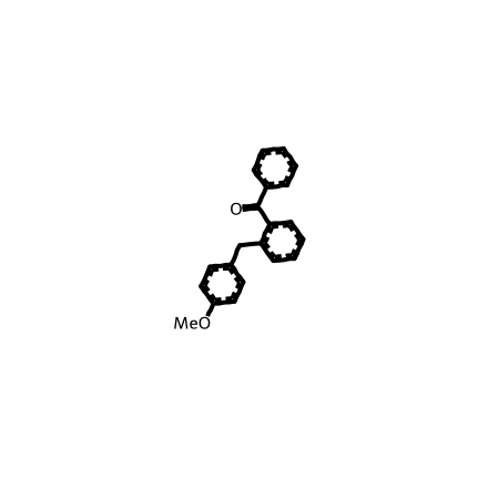 COc1ccc(Cc2ccccc2C(=O)c2ccccc2)cc1